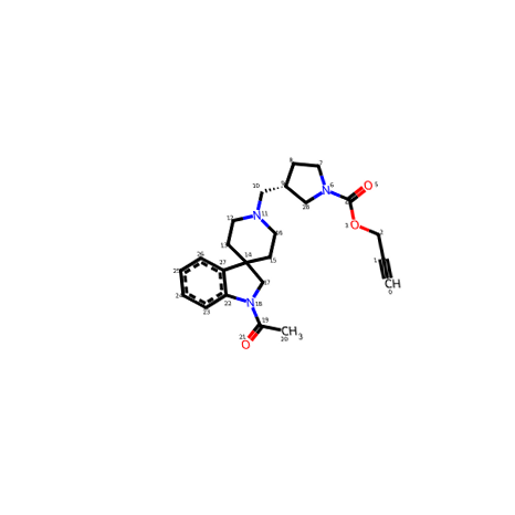 C#CCOC(=O)N1CC[C@@H](CN2CCC3(CC2)CN(C(C)=O)c2ccccc23)C1